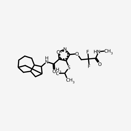 CNC(=O)C(F)(F)COc1noc(C(=O)NC2C3CC4CCCC2C(C4)C3)c1SC(C)C